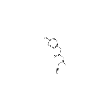 C#CCN(C)CC(=O)Cc1ccc(Cl)cc1